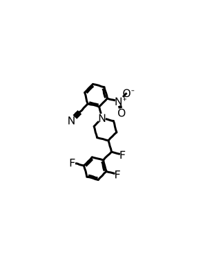 N#Cc1cccc([N+](=O)[O-])c1N1CCC(C(F)c2cc(F)ccc2F)CC1